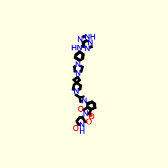 O=C1CCC(N2C(=O)c3cccc(N4CC(CN5CCC6(CC5)CC(N5CCN(c7ccc(Nc8ncnc9[nH]cnc89)cc7)CC5)C6)C4)c3C2=O)C(=O)N1